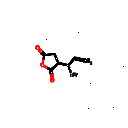 C=CC(CCC)C1CC(=O)OC1=O